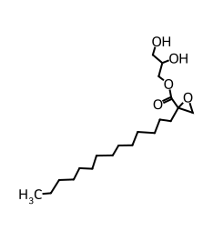 CCCCCCCCCCCCCCC1(C(=O)OCC(O)CO)CO1